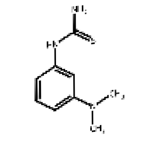 CN(C)c1cccc(NC(N)=S)c1